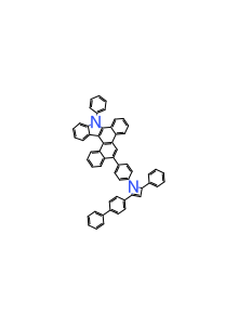 C1=C(c2ccc(-c3ccccc3)cc2)N(c2ccc(-c3cc4c5ccccc5c5c(c6ccccc6n5-c5ccccc5)c4c4ccccc34)cc2)C1c1ccccc1